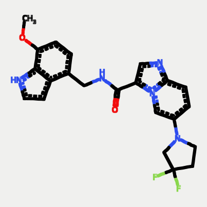 COc1ccc(CNC(=O)c2cnc3ccc(N4CCC(F)(F)C4)cn23)c2cc[nH]c12